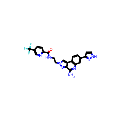 Nc1nc2cc(-c3cc[nH]n3)ccc2c2cn(CCNC(=O)c3ccc(C(F)(F)F)cn3)nc12